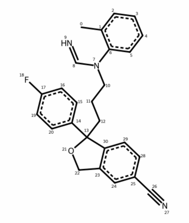 Cc1ccccc1N(C=N)CCCC1(c2ccc(F)cc2)OCc2cc(C#N)ccc21